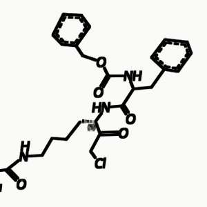 CC(C)(C)OC(=O)NCCCC[C@H](NC(=O)C(Cc1ccccc1)NC(=O)OCc1ccccc1)C(=O)CCl